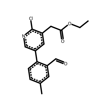 CCOC(=O)Cc1cc(-c2ccc(C)cc2C=O)cnc1Cl